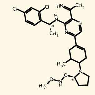 CONO[C@@H]1CCCN1C1CC=C(c2cnc(C(C)=N)c(N[C@H](C)c3ccc(Cl)cc3Cl)n2)CC1C